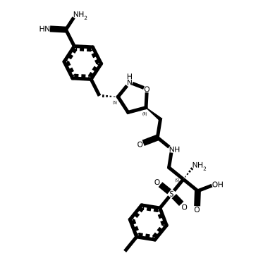 Cc1ccc(S(=O)(=O)[C@@](N)(CNC(=O)C[C@H]2C[C@H](Cc3ccc(C(=N)N)cc3)NO2)C(=O)O)cc1